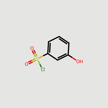 O=S(=O)(Cl)c1cccc(O)c1